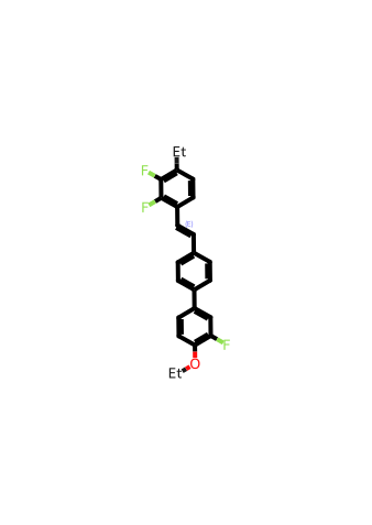 CCOc1ccc(-c2ccc(/C=C/c3ccc(CC)c(F)c3F)cc2)cc1F